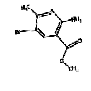 COC(=O)c1cc(Br)c(C)nc1N